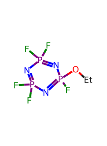 CCOP1(F)=NP(F)(F)=NP(F)(F)=N1